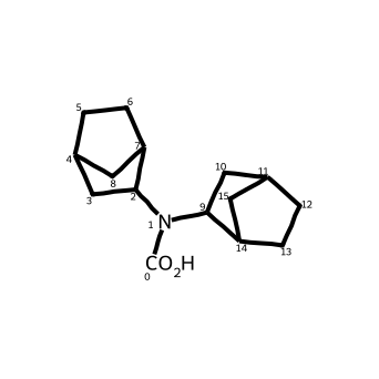 O=C(O)N(C1CC2CCC1C2)C1CC2CCC1C2